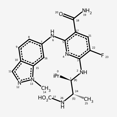 CC(C)[C@@H](Nc1nc(Nc2ccc3cnn(C)c3c2)c(C(N)=O)cc1F)[C@H](C)NC(=O)O